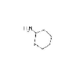 NC1CCCCS1